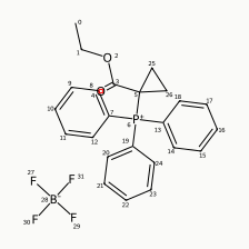 CCOC(=O)C1([P+](c2ccccc2)(c2ccccc2)c2ccccc2)CC1.F[B-](F)(F)F